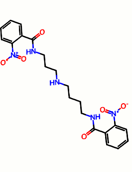 O=C(NCCCCNCCCNC(=O)c1ccccc1[N+](=O)[O-])c1ccccc1[N+](=O)[O-]